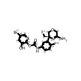 NC1=N[C@](CF)(c2cc(NC(=O)Oc3ncc(Br)cc3O)ccc2F)COC1